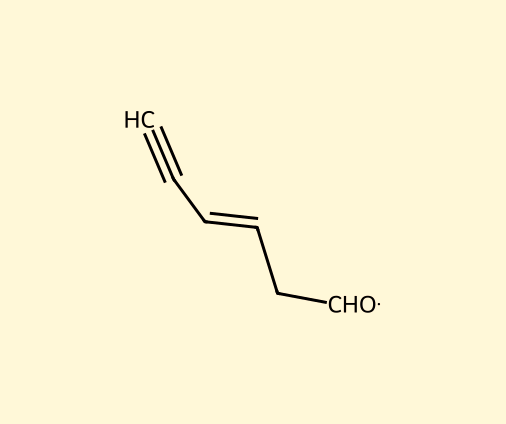 C#CC=CC[C]=O